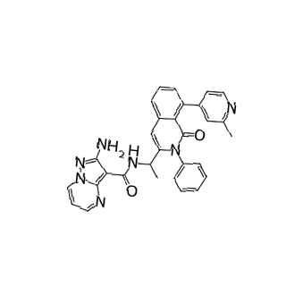 Cc1cc(-c2cccc3cc(C(C)NC(=O)c4c(N)nn5cccnc45)n(-c4ccccc4)c(=O)c23)ccn1